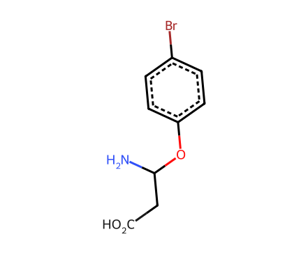 NC(CC(=O)O)Oc1ccc(Br)cc1